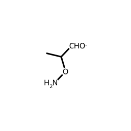 CC([C]=O)ON